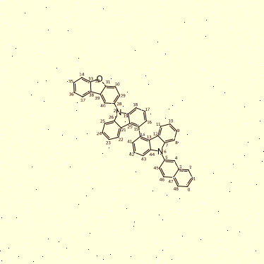 c1ccc2cc(-n3c4ccccc4c4c(-c5cccc6c5c5ccccc5n6-c5ccc6oc7ccccc7c6c5)cccc43)ccc2c1